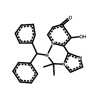 CC1(C)N(C(c2ccccc2)c2ccccc2)n2ccc(=O)c(O)c2-c2nccn21